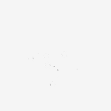 O=C(OON1C(=O)c2ccccc2C1=O)c1ccccc1